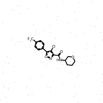 O=C(NC1CCCOC1)c1noc(-c2ccc(C(F)(F)F)cc2)c1Cl